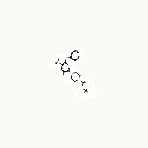 Cc1cc([N+](=O)[O-])c(Nc2ccncc2)nc1N1CCN(C(=O)OC(C)(C)C)CC1